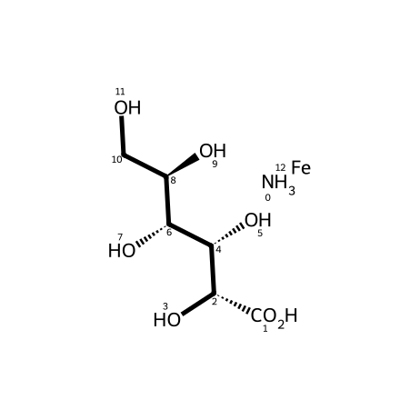 N.O=C(O)[C@H](O)[C@@H](O)[C@H](O)[C@H](O)CO.[Fe]